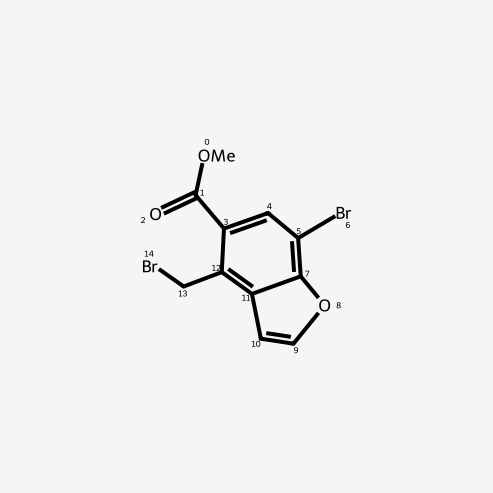 COC(=O)c1cc(Br)c2occc2c1CBr